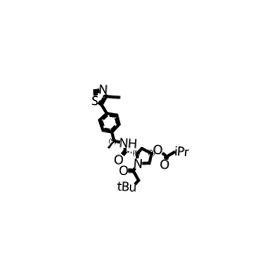 Cc1ncsc1-c1ccc([C@H](C)NC(=O)[C@@H]2C[C@@H](OC(=O)C(C)C)CN2C(=O)CC(C)(C)C)cc1